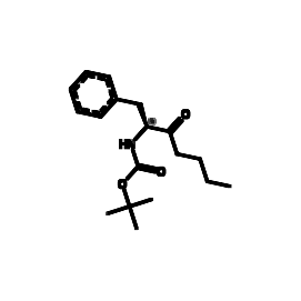 CCCCC(=O)[C@H](Cc1ccccc1)NC(=O)OC(C)(C)C